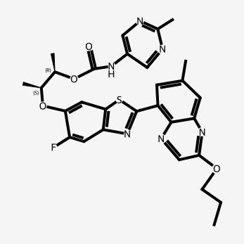 CCCOc1cnc2c(-c3nc4cc(F)c(O[C@@H](C)[C@@H](C)OC(=O)Nc5cnc(C)nc5)cc4s3)cc(C)cc2n1